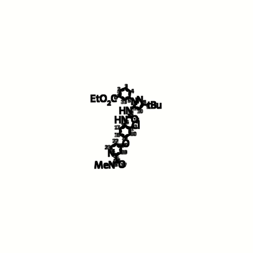 CCOC(=O)c1cccc(-n2nc(C(C)(C)C)cc2NC(=O)Nc2ccc(Oc3ccnc(C(=O)NC)c3)cc2Cl)c1